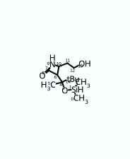 C[SiH](C)OC(C)(C1C(=O)NC1CCO)C(C)(C)C